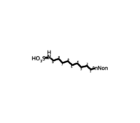 [CH2]CCCCCCCCCCCCCCCCCNS(=O)(=O)O